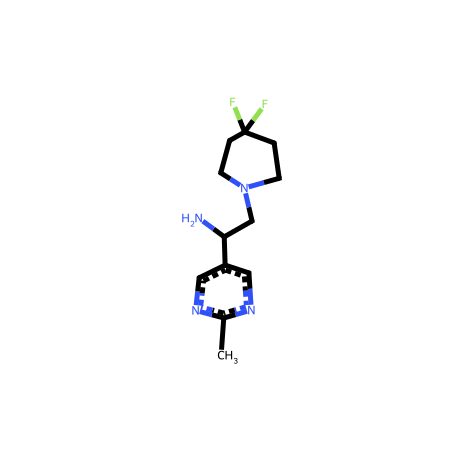 Cc1ncc(C(N)CN2CCC(F)(F)CC2)cn1